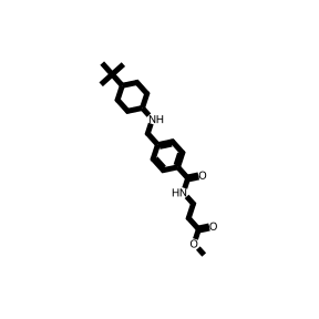 COC(=O)CCNC(=O)c1ccc(CNC2CCC(C(C)(C)C)CC2)cc1